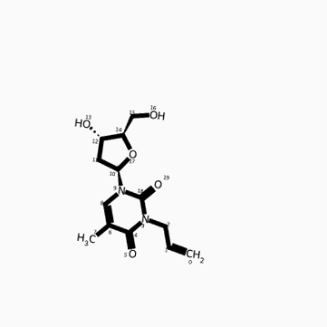 C=CCn1c(=O)c(C)cn([C@H]2C[C@H](O)[C@@H](CO)O2)c1=O